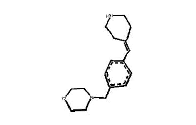 C(=C1CCNCC1)c1ccc(CN2CCOCC2)cc1